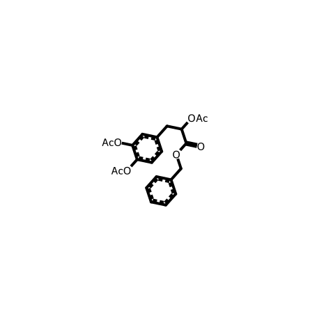 CC(=O)Oc1ccc(CC(OC(C)=O)C(=O)OCc2ccccc2)cc1OC(C)=O